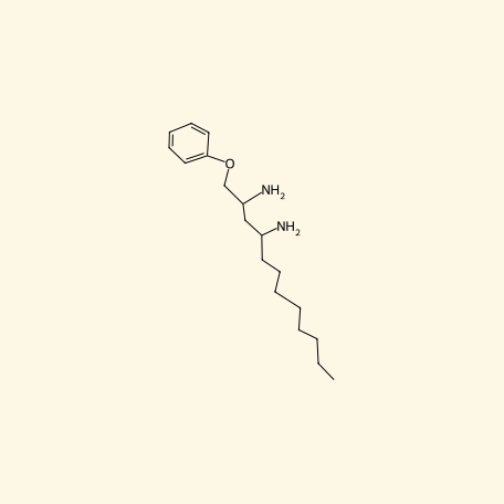 CCCCCCCCC(N)CC(N)COc1ccccc1